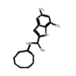 Cc1cc(C)c2[nH]c(C(O)NC3CCCCCCC3)cc2c1